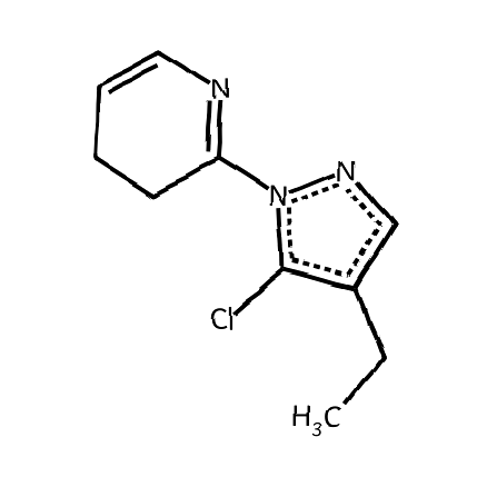 CCc1cnn(C2=NC=CCC2)c1Cl